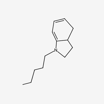 CCCCCN1CCC2CC=CC=C21